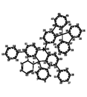 C1=CCC(C2(c3ccccc3)c3cc(-c4ccccc4)ccc3N(c3ccc4c(c3)C3(c5ccccc5-c5ccccc53)c3ccccc3-4)c3ccc(-c4ccccc4)cc32)C=C1